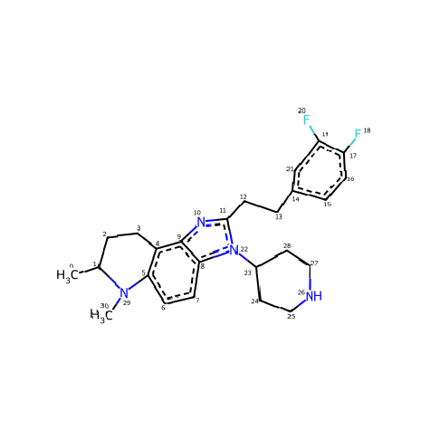 CC1CCc2c(ccc3c2nc(CCc2ccc(F)c(F)c2)n3C2CCNCC2)N1C